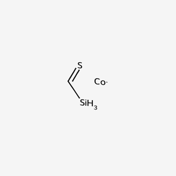 [Co].[SiH3]C=S